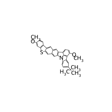 COc1ccc2c(c1)sc1cc3cc4c(cc3cc12)c1ccc(OC)c2c3cc(C(C)(C)C)ccc3n4c12